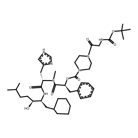 CC(C)CC[C@H](O)[C@H](CC1CCCCC1)NC(=O)[C@H](Cc1c[nH]cn1)N(C)C(=O)[C@H](Cc1ccccc1)OC(=O)N1CCN(C(=O)CNC(=O)OC(C)(C)C)CC1